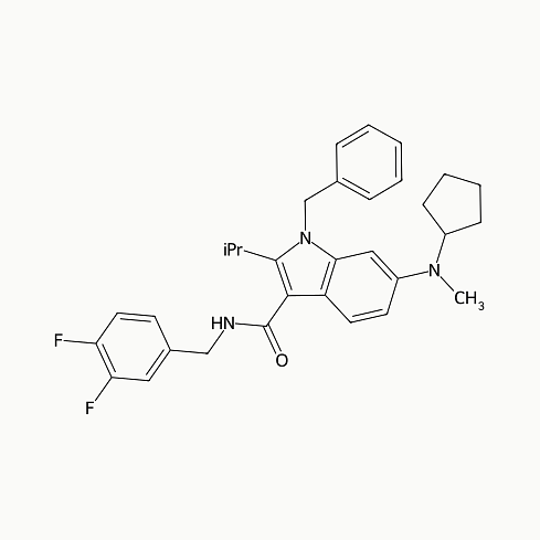 CC(C)c1c(C(=O)NCc2ccc(F)c(F)c2)c2ccc(N(C)C3CCCC3)cc2n1Cc1ccccc1